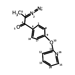 CC(=[N+]=[N-])C(=O)c1ccc(Oc2ccccn2)cc1